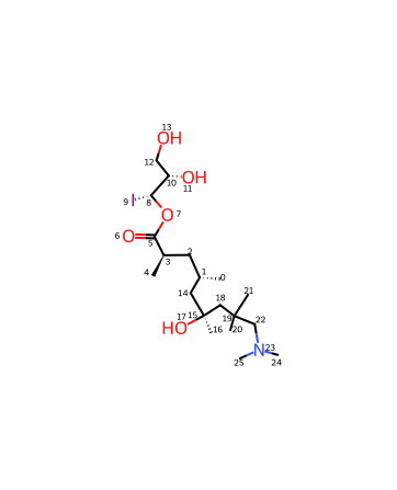 C[C@@H](C[C@@H](C)C(=O)O[C@H](I)[C@@H](O)CO)C[C@](C)(O)CC(C)(C)CN(C)C